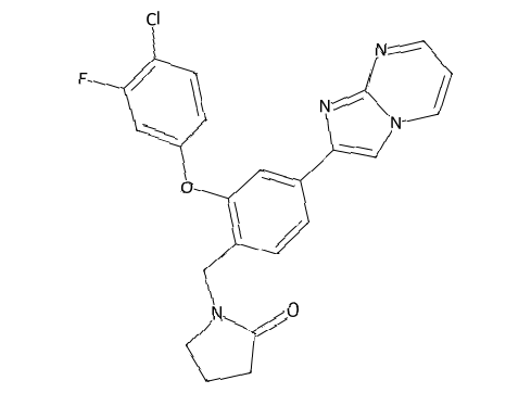 O=C1CCCN1Cc1ccc(-c2cn3cccnc3n2)cc1Oc1ccc(Cl)c(F)c1